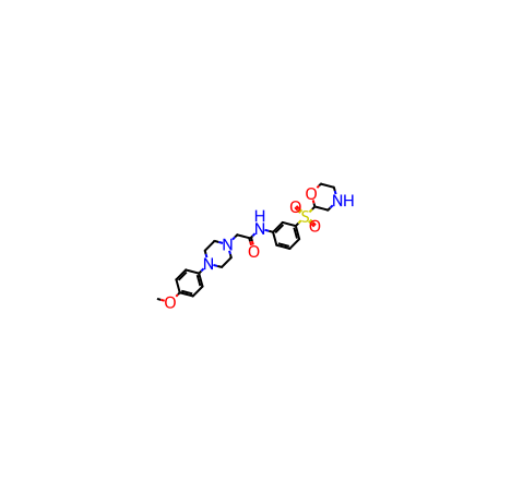 COc1ccc(N2CCN(CC(=O)Nc3cccc(S(=O)(=O)C4CNCCO4)c3)CC2)cc1